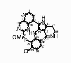 COc1ncc2nccc(-c3[nH]c4c(c3Nc3cccc(Cl)c3F)C(=O)NCC4)c2n1